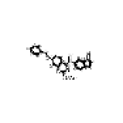 COc1nc(Nc2ccc3cc[nH]c3c2)c2ccc(OCc3cccnc3)cc2n1